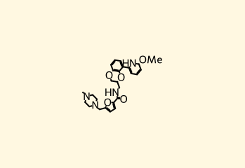 COC1C=CC=C(c2cccc3c2OC(CNC(=O)c2ccc(CN4CCN(C)CC4)o2)CO3)N1